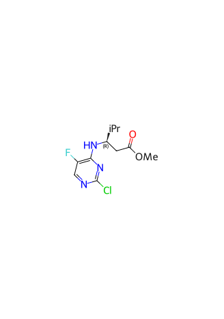 COC(=O)C[C@@H](Nc1nc(Cl)ncc1F)C(C)C